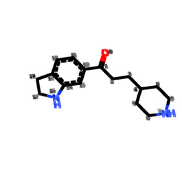 O=C(CCC1CCNCC1)c1ccc2c(c1)NCC2